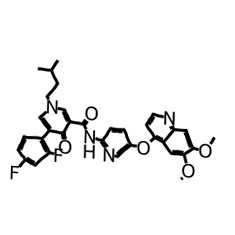 COc1cc2nccc(Oc3ccc(NC(=O)c4cn(CCC(C)C)cc(-c5ccc(F)cc5F)c4=O)nc3)c2cc1OC